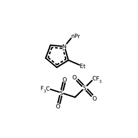 CCCn1cccc1CC.O=S(=O)(CS(=O)(=O)C(F)(F)F)C(F)(F)F